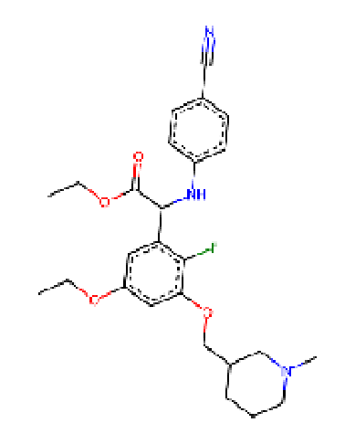 CCOC(=O)C(Nc1ccc(C#N)cc1)c1cc(OCC)cc(OCC2CCCN(C)C2)c1F